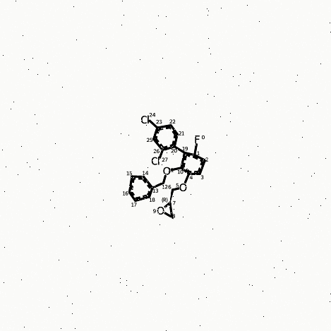 Fc1ccc(OC[C@H]2CO2)c(OCc2ccccc2)c1-c1ccc(Cl)cc1Cl